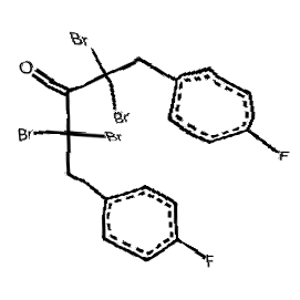 O=C(C(Br)(Br)Cc1ccc(F)cc1)C(Br)(Br)Cc1ccc(F)cc1